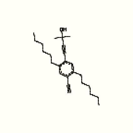 C#Cc1cc(CCCCCC)c(C#CC(C)(C)O)cc1CCCCCC